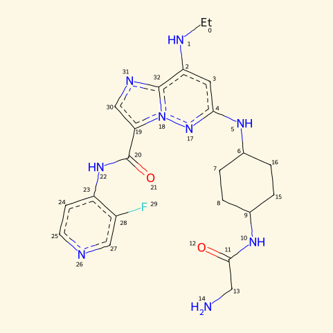 CCNc1cc(NC2CCC(NC(=O)CN)CC2)nn2c(C(=O)Nc3ccncc3F)cnc12